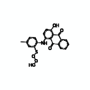 Cc1ccc(Nc2ccc(O)c3c2C(=O)c2ccccc2C3=O)c(SOOO)c1